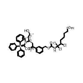 CCCCCCCCCCCCCCC(Cl)C(Cl)(Cl)NC(=O)OCc1cccc(C(=O)C[C@@H]2[C@@H]([C@@H](C)O)C(=O)N2C(C(=O)O)=P(c2ccccc2)(c2ccccc2)c2ccccc2)c1